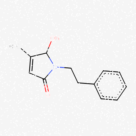 CC1=CC(=O)N(CCc2ccccc2)C1O